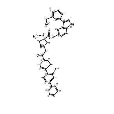 CS[C@@]1(C(=O)Nc2ccc3[nH]nc(-c4ccc(F)c(CO)c4)c3c2)CCN(CC(=O)N2CC=C(c3ccc(-c4ncccn4)cc3F)CC2)C1